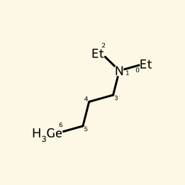 CCN(CC)CC[CH2][GeH3]